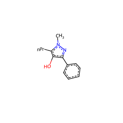 CCCc1c(O)c(-c2ccccc2)nn1C